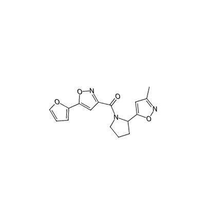 Cc1cc(C2CCCN2C(=O)c2cc(-c3ccco3)on2)on1